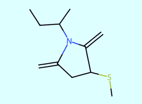 C=C1CC(SC)C(=C)N1C(C)CC